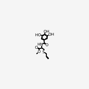 C=CCSCC(NC(=O)c1cc(O)c(O)c(O)c1)C(=O)OC